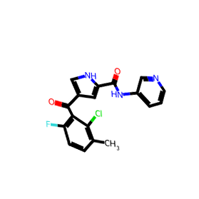 Cc1ccc(F)c(C(=O)c2c[nH]c(C(=O)Nc3cccnc3)c2)c1Cl